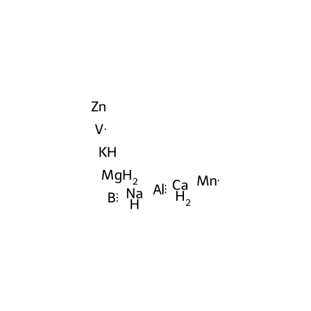 [Al].[B].[CaH2].[KH].[MgH2].[Mn].[NaH].[V].[Zn]